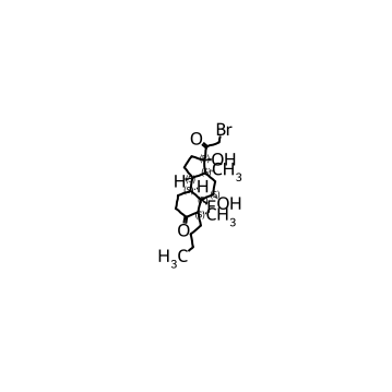 CCCC[C@@]1(C)C(=O)CC[C@H]2[C@@H]3CC[C@](O)(C(=O)CBr)[C@@]3(C)C[C@H](O)[C@@]21F